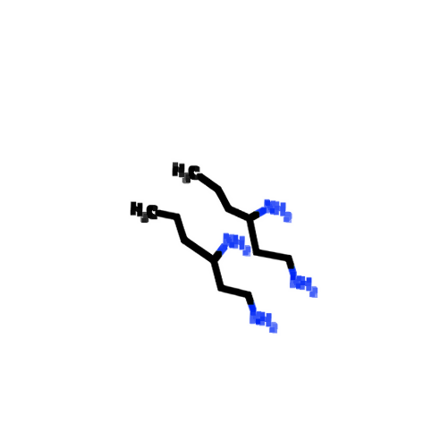 CCCC(N)CCN.CCCC(N)CCN